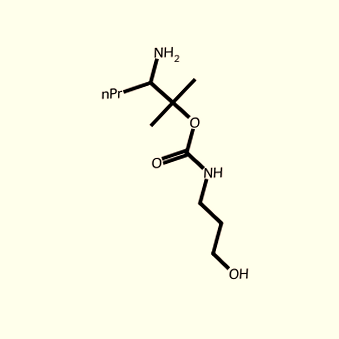 CCCC(N)C(C)(C)OC(=O)NCCCO